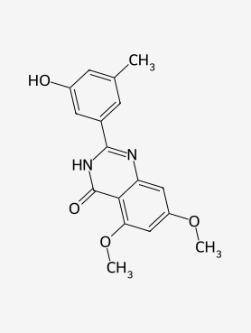 COc1cc(OC)c2c(=O)[nH]c(-c3cc(C)cc(O)c3)nc2c1